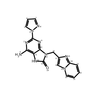 Nc1nc(-n2cccn2)nc2c1[nH]c(=O)n2Cc1cn2ccccc2n1